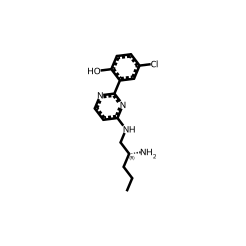 CCC[C@@H](N)CNc1ccnc(-c2cc(Cl)ccc2O)n1